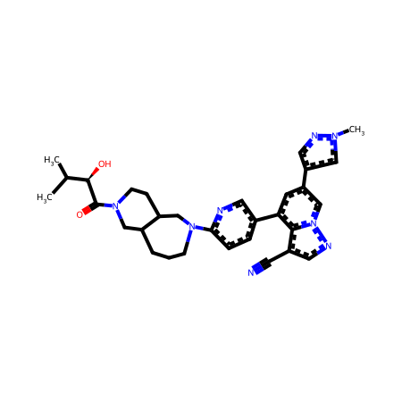 CC(C)[C@@H](O)C(=O)N1CCC2CN(c3ccc(-c4cc(-c5cnn(C)c5)cn5ncc(C#N)c45)cn3)CCCC2C1